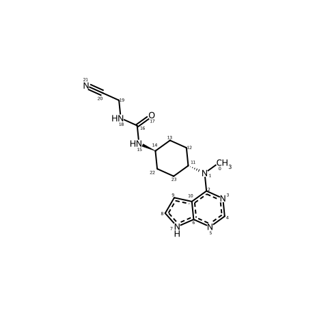 CN(c1ncnc2[nH]ccc12)[C@H]1CC[C@H](NC(=O)NCC#N)CC1